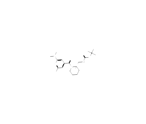 CN(C)c1cc(C(=O)N2CCCC[C@@H]2CNC(=O)OC(C)(C)C)cc(Cl)n1